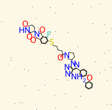 Nc1ncnc2c1c(-c1ccc(Oc3ccccc3)cc1)nn2C1CCCN(C(=O)CCCCSc2ccc3c(c2F)C(=O)N(C2CCC(=O)NC2=O)C3=O)C1